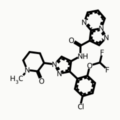 CN1CCCC(n2cc(NC(=O)c3cnn4cccnc34)c(-c3cc(Cl)ccc3OC(F)F)n2)C1=O